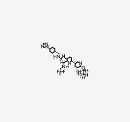 [2H]C([2H])([2H])C([2H])([2H])Oc1ccc(-c2ccc3nc(NCc4ccc(-n5cncn5)cc4)nc(NCC(F)(F)F)c3n2)cn1